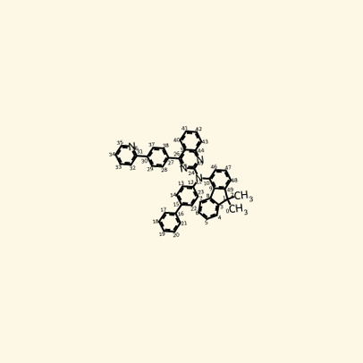 CC1(C)c2ccccc2-c2c(N(c3ccc(-c4ccccc4)cc3)c3nc(-c4ccc(-c5ccccn5)cc4)c4ccccc4n3)cccc21